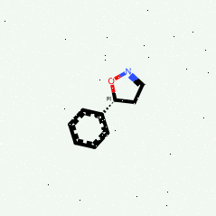 [C]1=NO[C@@H](c2ccccc2)C1